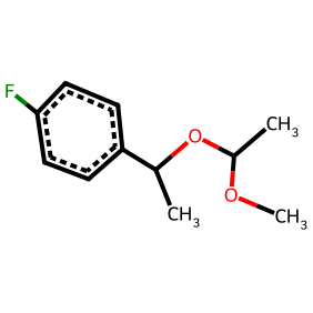 COC(C)OC(C)c1ccc(F)cc1